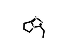 CCc1nnc2n1CCC2